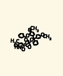 COc1ccc(C(OC[C@@]2(COC(=O)c3ccccc3)COC[C@H](n3cc(C)c(=O)[nH]c3=O)O2)(c2ccccc2)c2ccc(OC)cc2)cc1